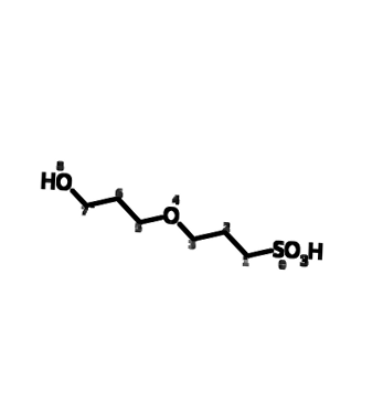 O=S(=O)(O)CCCOCC[CH]O